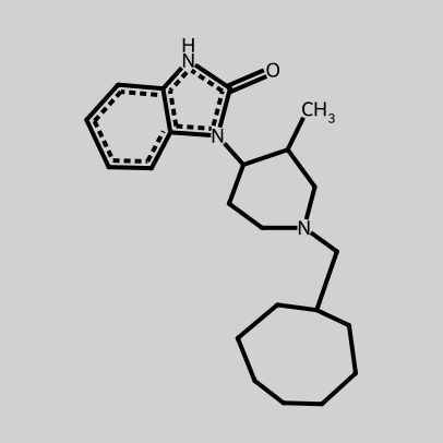 CC1CN(CC2CCCCCCC2)CCC1n1c(=O)[nH]c2ccccc21